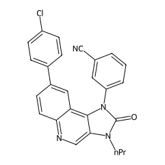 CCCn1c(=O)n(-c2cccc(C#N)c2)c2c3cc(-c4ccc(Cl)cc4)ccc3ncc21